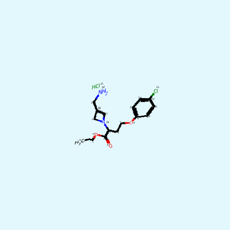 CCOC(=O)C(CCOc1ccc(Cl)cc1)N1CC(CN)C1.Cl